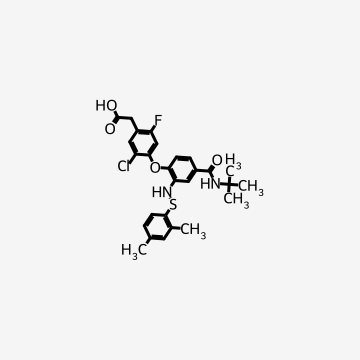 Cc1ccc(SNc2cc(C(=O)NC(C)(C)C)ccc2Oc2cc(F)c(CC(=O)O)cc2Cl)c(C)c1